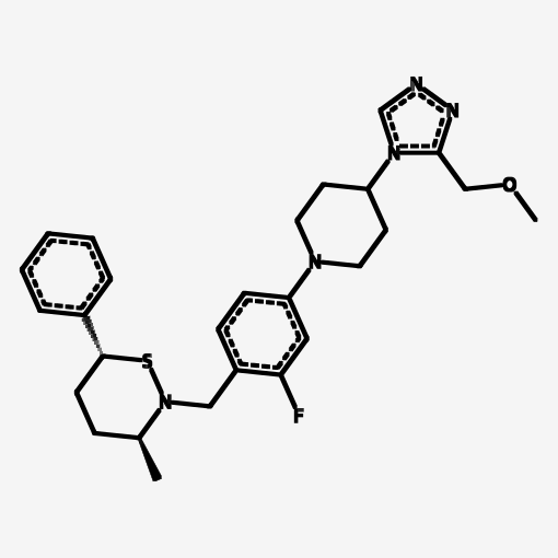 COCc1nncn1C1CCN(c2ccc(CN3S[C@@H](c4ccccc4)CC[C@@H]3C)c(F)c2)CC1